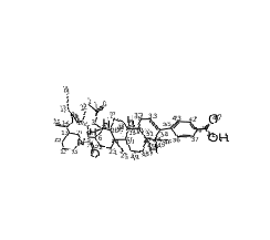 C=C(C)[C@@H]1CC[C@]2(C(=O)N3CCCC(C(=C)N(CC)CC)C3)CC[C@]3(C)[C@H](CC[C@@H]4[C@@]5(C)CC=C(c6ccc(C(=O)O)cc6)C(C)(C)[C@@H]5CC[C@]43C)[C@@H]12